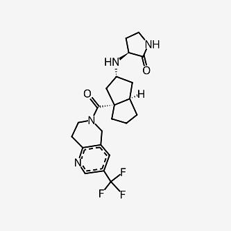 O=C1NCC[C@@H]1N[C@@H]1C[C@H]2CCC[C@@]2(C(=O)N2CCc3ncc(C(F)(F)F)cc3C2)C1